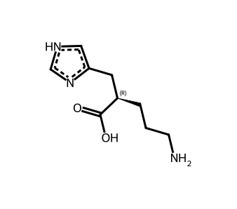 NCCC[C@H](Cc1c[nH]cn1)C(=O)O